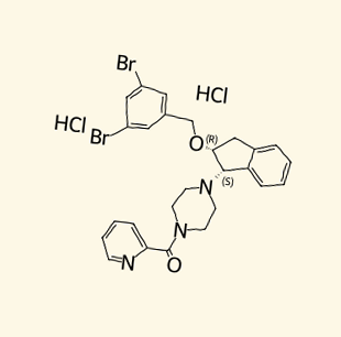 Cl.Cl.O=C(c1ccccn1)N1CCN([C@H]2c3ccccc3C[C@H]2OCc2cc(Br)cc(Br)c2)CC1